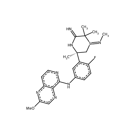 C/N=[Si]1/C[C@@](C)(c2cc(Nc3nccc4nc(OC)cnc34)ccc2F)NC(=N)C1(C)C